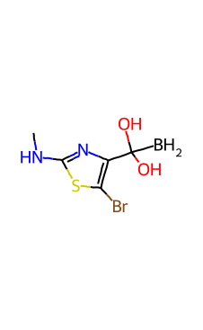 BC(O)(O)c1nc(NC)sc1Br